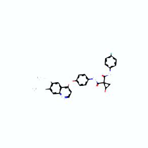 COc1cc2nccc(Oc3ccc(NC(=O)C4(C(=O)Nc5ccc(F)cc5)CC4O)cc3)c2cc1OC